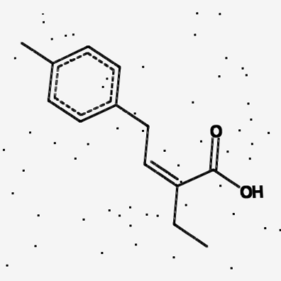 CCC(=CCc1ccc(C)cc1)C(=O)O